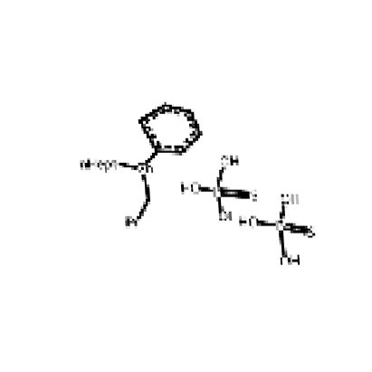 CCCCCC[CH2][Zn]([CH2]C(C)C)[c]1ccccc1.OP(O)(O)=S.OP(O)(O)=S